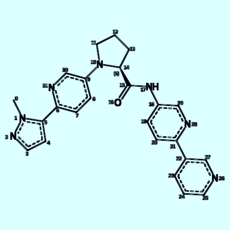 Cn1nccc1-c1ccc(N2CCC[C@H]2C(=O)Nc2ccc(-c3cccnc3)nc2)cn1